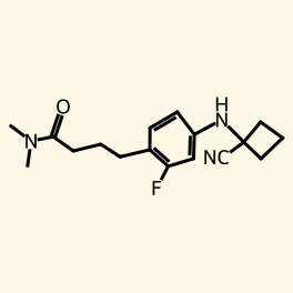 CN(C)C(=O)CCCc1ccc(NC2(C#N)CCC2)cc1F